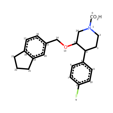 O=C(O)N1CCC(c2ccc(F)cc2)C(OCc2ccc3c(c2)CCC3)C1